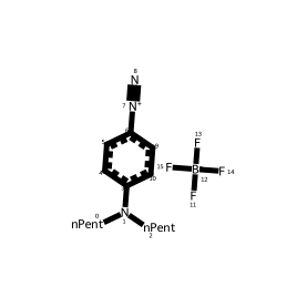 CCCCCN(CCCCC)c1ccc([N+]#N)cc1.F[B-](F)(F)F